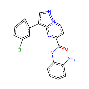 Nc1ccccc1NC(=O)c1ccn2ncc(-c3cccc(Cl)c3)c2n1